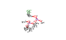 CC(C)OP(OC(C)C)OC(C)C.CC(C)OP(OC(C)C)OC(C)C.[Cl-].[Cl-].[Pd+2]